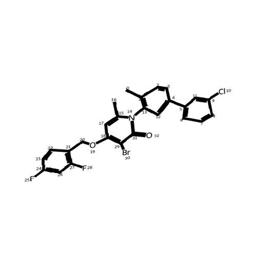 Cc1ccc(-c2cccc(Cl)c2)cc1-n1c(C)cc(OCc2ccc(F)cc2F)c(Br)c1=O